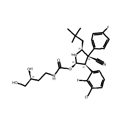 CC(C)(C)C[C@@H]1N[C@H](OC(=O)NCC[C@H](O)CO)[C@H](c2cccc(Cl)c2F)[C@@]1(C#N)c1ccc(F)cc1